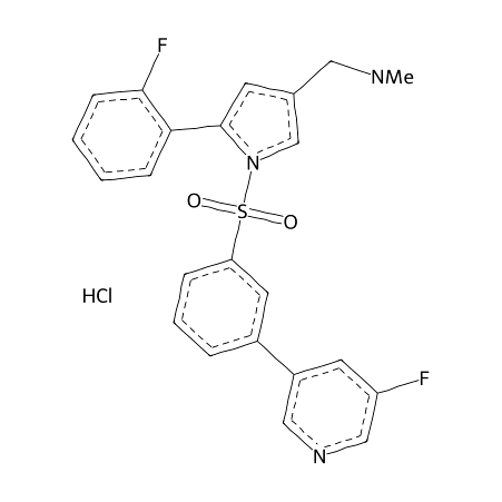 CNCc1cc(-c2ccccc2F)n(S(=O)(=O)c2cccc(-c3cncc(F)c3)c2)c1.Cl